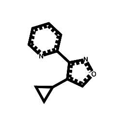 c1ccc(-c2nocc2C2CC2)nc1